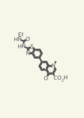 CCNC(=O)Nc1nc2cc(-c3ccc4c(=O)c(C(=O)O)cn(C)c4c3)ccc2s1